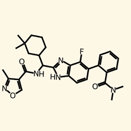 Cc1nocc1C(=O)NC(c1nc2c(F)c(-c3ccccc3C(=O)N(C)C)ccc2[nH]1)C1CCCC(C)(C)C1